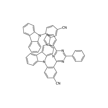 N#Cc1ccc(-n2c3ccccc3c3ccccc32)c(-c2ccc3c(c2)c2ccccc2n3-c2ccc(C#N)cc2-c2nc(-c3ccccc3)nc(-c3ccccc3)n2)c1